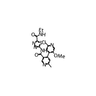 CCNC(=O)c1nnc(NC(=O)c2cnc(C)cc2-c2cc(Cl)ncc2OC)s1